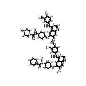 COc1cc2ncnc(Nc3ccc(F)c(Cl)c3)c2cc1O[C@H]1CC[C@@H](N(C)C(=O)N2CCCCC2)CC1.COc1cc2ncnc(Nc3ccc(F)c(Cl)c3)c2cc1O[C@H]1CC[C@@H](N(C)C(=O)N2CCN(C)CC2)CC1